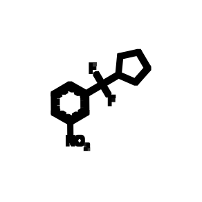 O=[N+]([O-])c1cccc(C(F)(F)C2CCCC2)c1